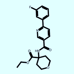 CCOC(=O)C1(NC(=O)c2ccc(-c3cccc(F)c3)nc2)CCOCC1